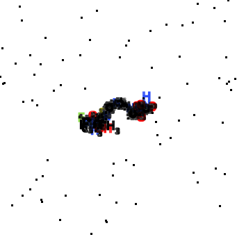 Cc1cc(F)cc(C(=O)Nc2cc3sc([C@H]4CC[C@H](CN5CCC(CCNc6cccc7c6C(=O)N(C6CCC(=O)NC6=O)C7=O)CC5)CC4)nc3cc2C(C)(C)O)n1